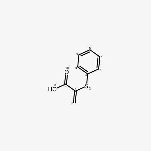 C=C(Sc1ccccc1)C(=O)O